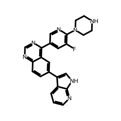 Fc1cc(-c2ncnc3ccc(-c4c[nH]c5ncccc45)cc23)cnc1N1CCNCC1